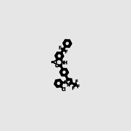 COc1ccc(C(F)(F)c2ccccc2)cc1NC(=O)c1ccc(-c2cc(C(F)(F)F)nn2-c2ccccc2Cl)cc1